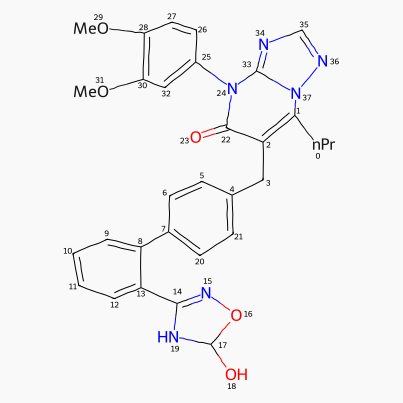 CCCc1c(Cc2ccc(-c3ccccc3C3=NOC(O)N3)cc2)c(=O)n(-c2ccc(OC)c(OC)c2)c2ncnn12